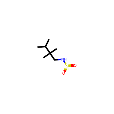 CC(C)C(C)(C)CN[SH](=O)=O